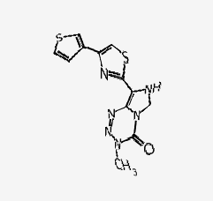 CN1N=NC2=C(c3nc(-c4ccsc4)cs3)NCN2C1=O